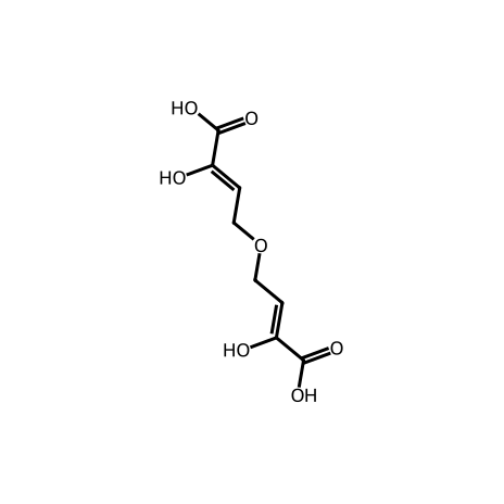 O=C(O)C(O)=CCOCC=C(O)C(=O)O